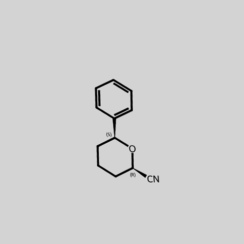 N#C[C@H]1CCC[C@@H](c2ccccc2)O1